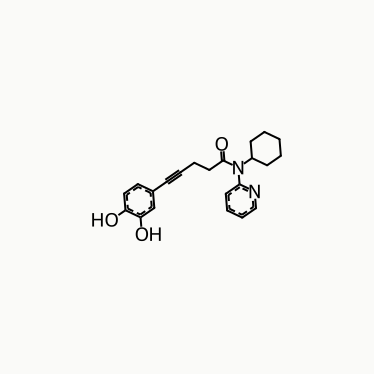 O=C(CCC#Cc1ccc(O)c(O)c1)N(c1ccccn1)C1CCCCC1